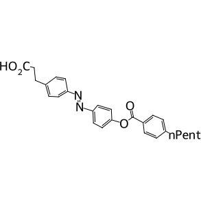 CCCCCc1ccc(C(=O)Oc2ccc(N=Nc3ccc(CCC(=O)O)cc3)cc2)cc1